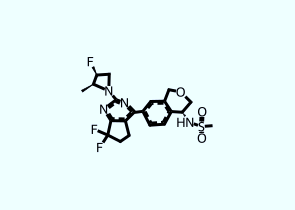 C[C@H]1[C@@H](F)CN1c1nc(-c2ccc3c(c2)COC[C@@H]3NS(C)(=O)=O)c2c(n1)C(F)(F)CC2